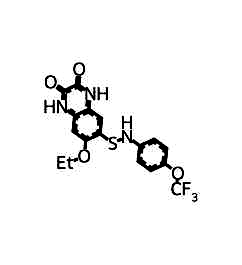 CCOc1cc2[nH]c(=O)c(=O)[nH]c2cc1SNc1ccc(OC(F)(F)F)cc1